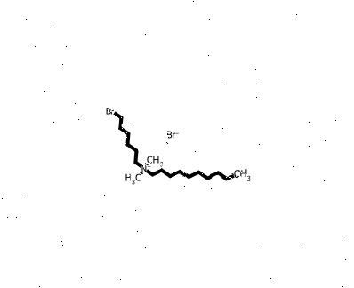 CCCCCCCCCC[N+](C)(C)CCCCCCBr.[Br-]